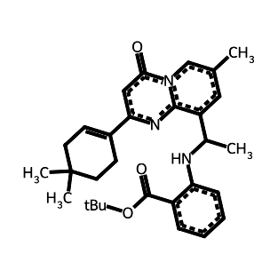 Cc1cc(C(C)Nc2ccccc2C(=O)OC(C)(C)C)c2nc(C3=CCC(C)(C)CC3)cc(=O)n2c1